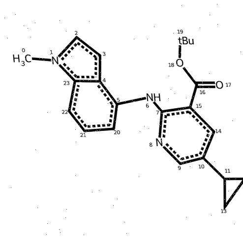 Cn1ccc2c(Nc3ncc(C4CC4)cc3C(=O)OC(C)(C)C)cccc21